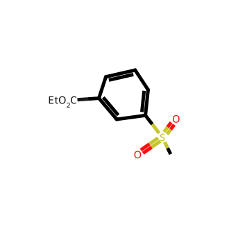 CCOC(=O)c1cccc(S(C)(=O)=O)c1